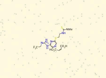 CNC(=S)NCCSc1cncc(N/C(N)=N\CC(F)(F)F)n1.O=C(O)/C=C\C(=O)O